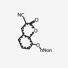 CCCCCCCCCOc1cccc2cc(C#N)c(=O)oc12